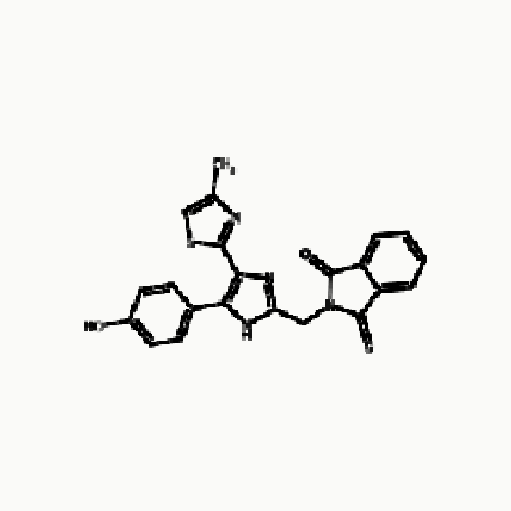 Cc1csc(-c2nc(CN3C(=O)c4ccccc4C3=O)[nH]c2-c2ccc(O)cc2)n1